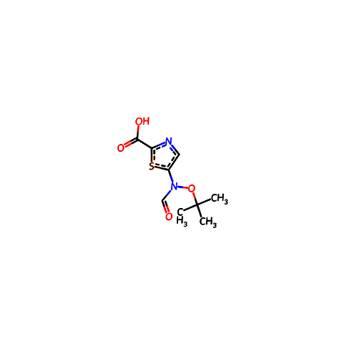 CC(C)(C)ON(C=O)c1cnc(C(=O)O)s1